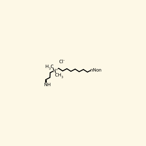 CCCCCCCCCCCCCCCCC[N+](C)(C)CCC=N.[Cl-]